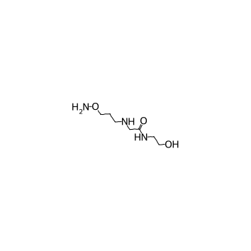 NOCCCNCC(=O)NCCO